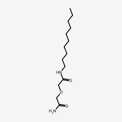 CCCCCCCCCCNC(=O)COCC(N)=O